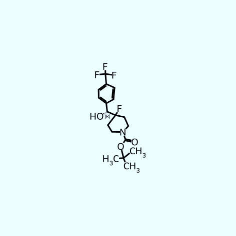 CC(C)(C)OC(=O)N1CCC(F)([C@H](O)c2ccc(C(F)(F)F)cc2)CC1